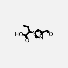 CCC(C(=O)O)n1cnc(C=O)c1